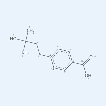 CC(C)(O)CCc1ccc(C(=O)O)cc1